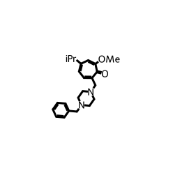 COc1cc(C(C)C)ccc(CN2CCN(Cc3ccccc3)CC2)c1=O